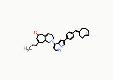 CCCC1=CC(=O)CC2=CCCN(c3ccnn4cc(-c5ccc(/C=C6\CC/C=C/CCC6)cc5)cc34)CC2C1